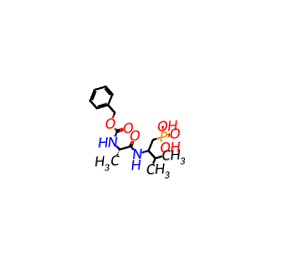 CC(C)C(CP(=O)(O)O)NC(=O)[C@H](C)NC(=O)OCc1ccccc1